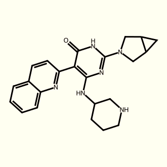 O=c1[nH]c(N2CC3CC3C2)nc(NC2CCCNC2)c1-c1ccc2ccccc2n1